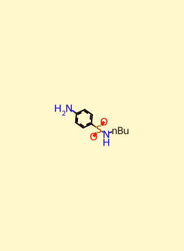 CCCCNS(=O)(=O)c1ccc(N)cc1